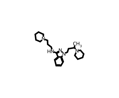 CC(CCn1nc(NCCCN2CCCCC2)c2ccccc21)N1CCCCC1